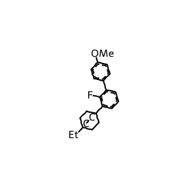 CCC12CCC(c3cccc(-c4ccc(OC)cc4)c3F)(CC1)CC2